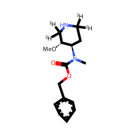 [2H]C1([2H])C[C@@H](N(C)C(=O)OCc2ccccc2)[C@H](OC)C([2H])([2H])N1